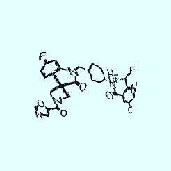 O=C(N[C@H]1CC[C@H](CN2C(=O)C3(CN(C(=O)c4cnco4)C3)c3ccc(F)cc32)CC1)c1cc(Cl)cnc1C(F)F